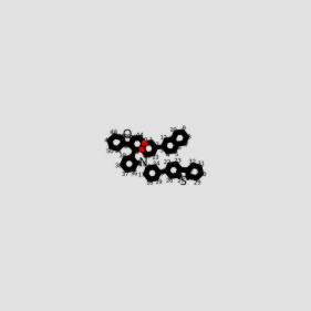 c1cc(-c2ccc3ccccc3c2)cc(N(c2cccc(-c3ccc4c(c3)sc3ccccc34)c2)c2ccccc2-c2cccc3oc4ccccc4c23)c1